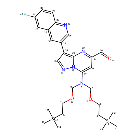 C[Si](C)(C)CCOCN(COCC[Si](C)(C)C)c1cc(C=O)nc2c(-c3cnc4ccc(F)cc4c3)cnn12